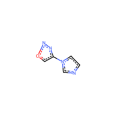 c1cn(-c2conn2)cn1